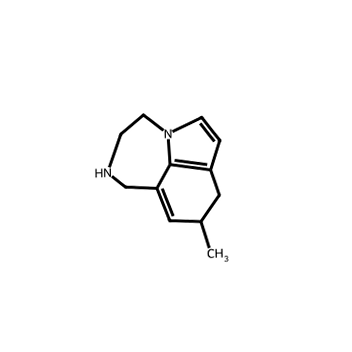 CC1C=C2CNCCn3ccc(c32)C1